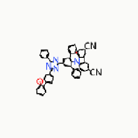 N#Cc1ccc2c(c1)c1cc(C#N)ccc1n2-c1c(-c2ccccc2)cc(-c2nc(-c3ccccc3)nc(-c3ccc4c(c3)oc3ccccc34)n2)cc1-c1ccccc1